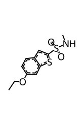 CCOc1ccc2cc(S(=O)(=O)NC)sc2c1